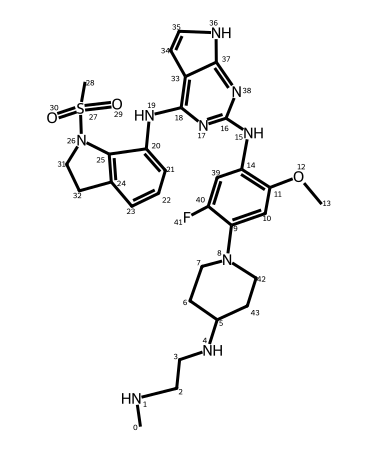 CNCCNC1CCN(c2cc(OC)c(Nc3nc(Nc4cccc5c4N(S(C)(=O)=O)CC5)c4cc[nH]c4n3)cc2F)CC1